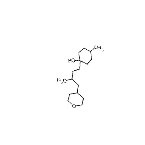 CC1CCC(O)(CCC(C)CC2CCOCC2)CC1